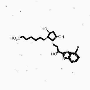 O=C(O)CCCCCC[C@@H]1[C@@H](CCC(O)c2nc3cccc(F)c3s2)[C@H](O)C[C@@H]1O